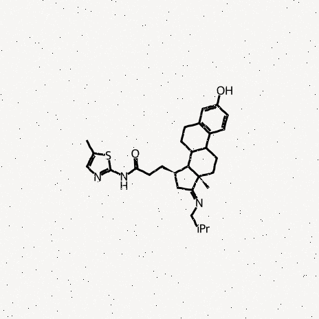 Cc1cnc(NC(=O)CC[C@@H]2CC(=NCC(C)C)[C@@]3(C)CCC4c5ccc(O)cc5CCC4C23)s1